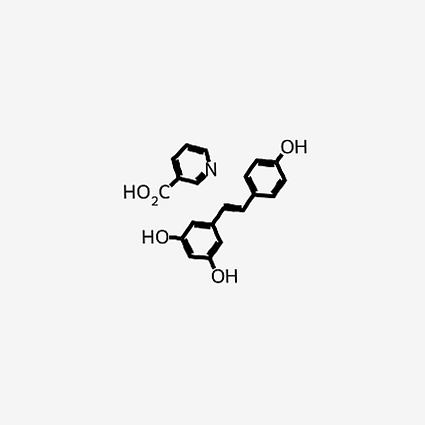 O=C(O)c1cccnc1.Oc1ccc(C=Cc2cc(O)cc(O)c2)cc1